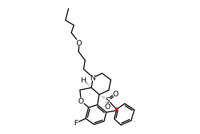 CCCCOCCCN1CCC[C@@]2(S(=O)(=O)c3ccccc3)c3c(F)ccc(F)c3OC[C@@H]12